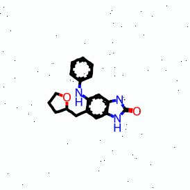 O=C1[N]c2cc(Nc3ccccc3)c(CC3CCCO3)cc2N1